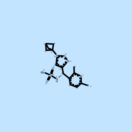 Cc1nc(F)ccc1[C@H](NS(=O)(=O)C(C)(C)C)c1cn(C23CC(C2)C3)nn1